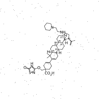 C=C(C)[C@@H]1CC[C@]2(NCCN3CCCCC3)CC[C@]3(C)[C@H](CC[C@@H]4[C@@]5(C)CC=C(C6=CCC(COc7nsc(=O)[nH]7)(C(=O)O)CC6)C(C)(C)[C@@H]5CC[C@]43C)[C@@H]12